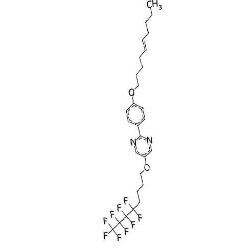 CCCC/C=C/CCCCOc1ccc(-c2ncc(OCCCCC(F)(F)C(F)(F)C(F)(F)C(F)(F)F)cn2)cc1